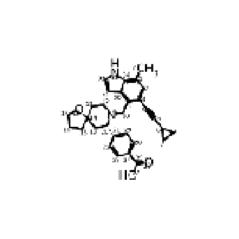 Cc1cc(C#CC2CC2)c(CN2CC[C@]3(CCCO3)C[C@H]2c2ccc(C(=O)O)cc2)c2cc[nH]c12